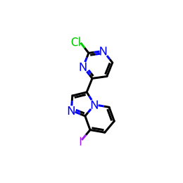 Clc1nccc(-c2cnc3c(I)cccn23)n1